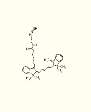 C[N+]1=C(C=CC=CC=C2N(CCCCCC(=O)NCCN=[N+]=N)c3ccccc3C2(C)C)C(C)(C)c2ccccc21